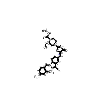 CC(C)(C)OC(=O)N1CCN(C2=NC(=O)/C(=C/c3ccc4c(c3)c(I)nn4Cc3ccc(C(F)(F)F)cc3C(F)(F)F)S2)C[C@@H]1CO